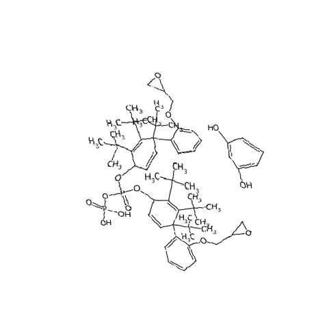 CC(C)(C)C1=C(C(C)(C)C)C(c2ccccc2OCC2CO2)(C(C)(C)C)C=CC1OP(=O)(OC1C=CC(c2ccccc2OCC2CO2)(C(C)(C)C)C(C(C)(C)C)=C1C(C)(C)C)OP(=O)(O)O.Oc1cccc(O)c1